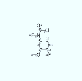 COc1cc(N(F)C(=O)Cl)ccc1F